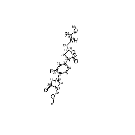 COCN1CN(c2ccc(N3C[C@H](CNC(=S)OC)OC3=O)cc2F)CC1=O